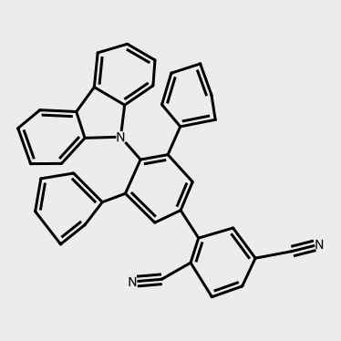 N#Cc1ccc(C#N)c(-c2cc(-c3ccccc3)c(-n3c4ccccc4c4ccccc43)c(-c3ccccc3)c2)c1